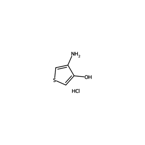 Cl.Nc1cscc1O